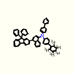 [2H]c1c([2H])c([2H])c(-c2ccc(N(c3ccc(-c4ccccc4)cc3)c3ccc(-c4ccc5c(c4)C(c4ccccc4)(c4ccccc4)c4ccccc4-5)c4ccccc34)cc2)c([2H])c1[2H]